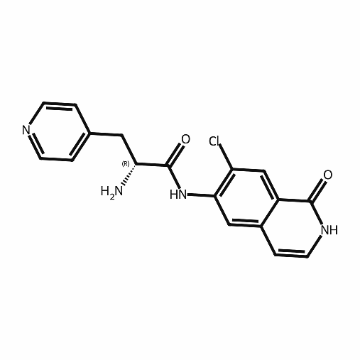 N[C@H](Cc1ccncc1)C(=O)Nc1cc2cc[nH]c(=O)c2cc1Cl